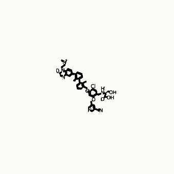 Cc1c(COc2cc(OCc3cncc(C#N)c3)c(CN[C@@H](CO)C(=O)O)cc2Cl)cccc1-c1cccc(-c2ccc3c(c2)ncc(=O)n3CCN(C)C)c1C